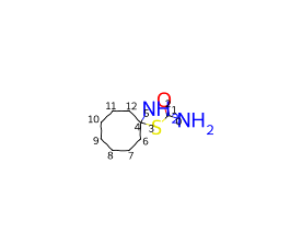 NC(=O)SC1(N)CCCCCCC1